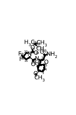 COc1ccc2oc(C(N)=O)c(NC(=O)[C@H]3CC(F)(F)CN3C(=O)OC(C)(C)C)c2c1